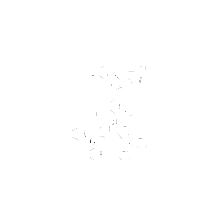 Cc1cccc(-c2cc(-c3cc(C)c(-n4c5ccc(N(c6ccccc6)c6ccccc6)cc5c5cc(N(c6ccccc6)c6ccccc6)ccc54)c(C)c3)nc(-c3cccc(C)c3)n2)c1